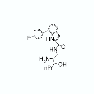 CCCC(O)[C@@H](N)CNC(=O)c1cc2cccc(-c3ccc(F)cc3)c2[nH]1